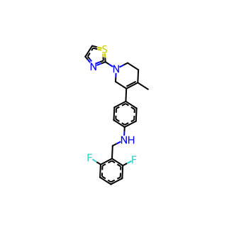 CC1=C(c2ccc(NCc3c(F)cccc3F)cc2)CN(c2nccs2)CC1